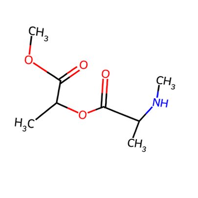 CNC(C)C(=O)OC(C)C(=O)OC